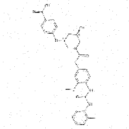 COc1cc(CC(=O)N2C[C@H](O)C[C@@H](Oc3ccc(C(=O)O)cc3)C2)ccc1NC(=O)Nc1ccccc1C